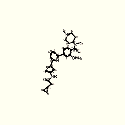 COc1cc(-c2cncc(-c3cc(NC(=O)CC4CC4)cs3)n2)ccc1C(=O)N(C)C1CCN(C)CC1